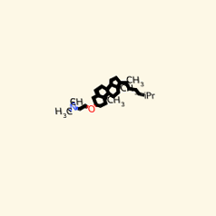 CC(C)CCC[C@@H](C)C1CCC2C3CC=C4CC(OCCN(C)C)CCC4(C)C3CCC21C